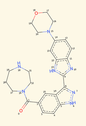 O=C(c1ccc2[nH]nc(-c3nc4ccc(N5CCOCC5)cc4[nH]3)c2c1)N1CCCNCC1